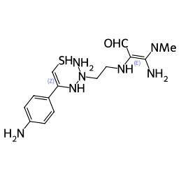 CN/C(N)=C(\C=O)NCCN(N)N/C(=C\S)c1ccc(N)cc1